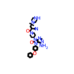 CC(C)(C=C(C#N)C(=O)N1CCC(n2c(=O)n(-c3ccc(Oc4ccccc4)cc3)c3c(N)ncnc32)CC1)N1CCNCC1